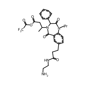 CC(C)N1C(=O)C(c2ccccc2)N(C(C)CC(=O)OC(=O)C(F)(F)F)C(=O)c2cc(CCC(=O)NCCN)ccc21